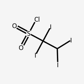 O=S(=O)(Cl)C(I)(I)C(I)I